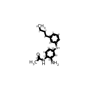 CCCCc1cccc(Sc2ccc(NC(C)=O)c(N)c2)c1